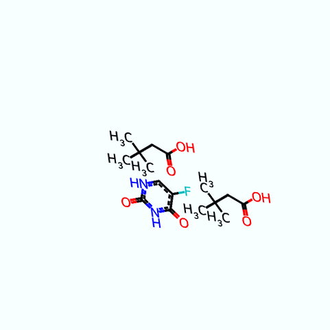 CC(C)(C)CC(=O)O.CC(C)(C)CC(=O)O.O=c1[nH]cc(F)c(=O)[nH]1